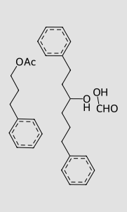 CC(=O)OCCCc1ccccc1.O=CO.OC(CCCc1ccccc1)CCc1ccccc1